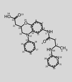 CC(CC(=O)Nc1ccc2c(c1)N(c1ccccc1)CC(CC(=O)O)O2)Nc1ccccn1